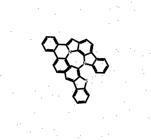 c1ccc2c(c1)sc1c(-n3c4ccccc4c4ccc5cc6c7ccccc7c7ccccc7n6c5c43)cccc12